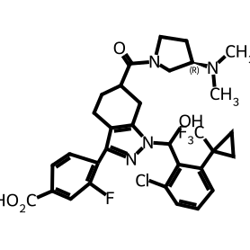 CN(C)[C@@H]1CCN(C(=O)C2CCc3c(-c4ccc(C(=O)O)cc4F)nn(C(O)c4c(Cl)cccc4C4(C(F)(F)F)CC4)c3C2)C1